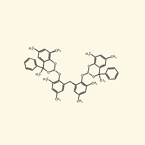 Cc1cc(C)c(OP2Oc3c(C)cc(C)cc3C(C)(c3ccccc3)O2)c(Cc2cc(C)cc(C)c2OP2Oc3c(C)cc(C)cc3C(C)(c3ccccc3)O2)c1